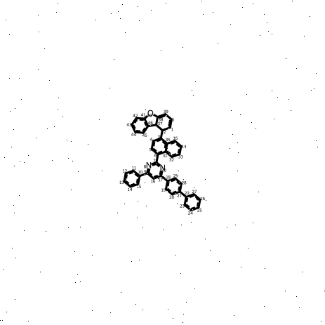 C1=CC(c2ccc(-c3nc(-c4ccccc4)cc(-c4ccc(-c5ccccc5)cc4)n3)c3ccccc23)C2C(=C1)Oc1ccccc12